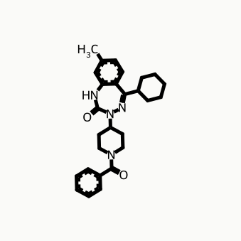 Cc1ccc2c(c1)NC(=O)N(C1CCN(C(=O)c3ccccc3)CC1)N=C2C1CCCCC1